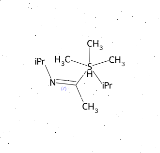 C/C(=N/C(C)C)[SH](C)(C)(C)C(C)C